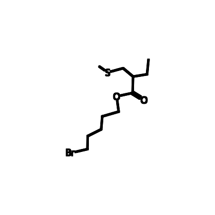 CCC(CSC)C(=O)OCCCCCBr